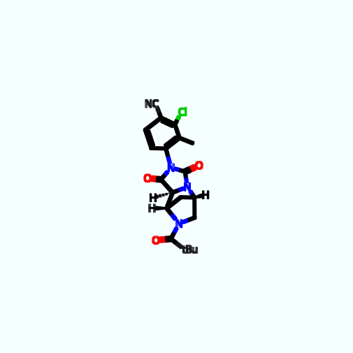 Cc1c(N2C(=O)[C@@H]3[C@@H]4C[C@@H](CN4C(=O)C(C)(C)C)N3C2=O)ccc(C#N)c1Cl